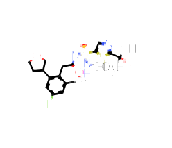 CC(C)c1cc(F)cc(C2CCOC2)c1CC(=O)N=S(=O)(NC(=O)O)c1cnc(C(C)(C)O)s1